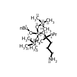 CCCCO[Si](OC(C)(CCC)CCCN)(O[Si](C)(C)C)O[Si](C)(C)C